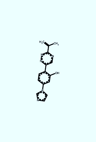 C=C(C)c1ncc(-c2ccc(-n3ccnc3)cc2O)nn1